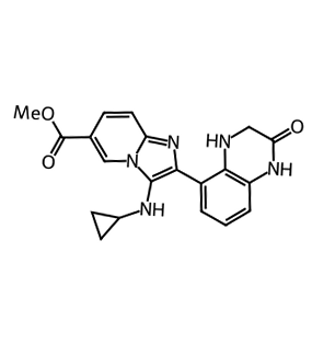 COC(=O)c1ccc2nc(-c3cccc4c3NCC(=O)N4)c(NC3CC3)n2c1